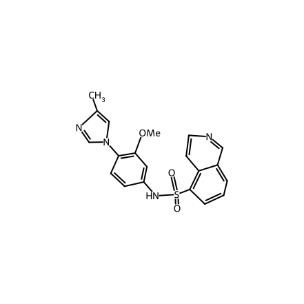 COc1cc(NS(=O)(=O)c2cccc3cnccc23)ccc1-n1cnc(C)c1